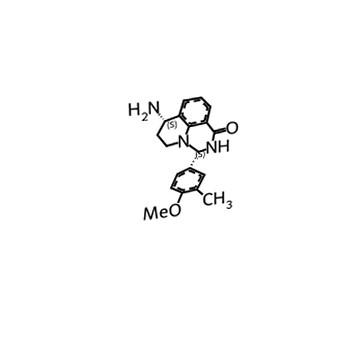 COc1ccc([C@H]2NC(=O)c3cccc4c3N2CC[C@@H]4N)cc1C